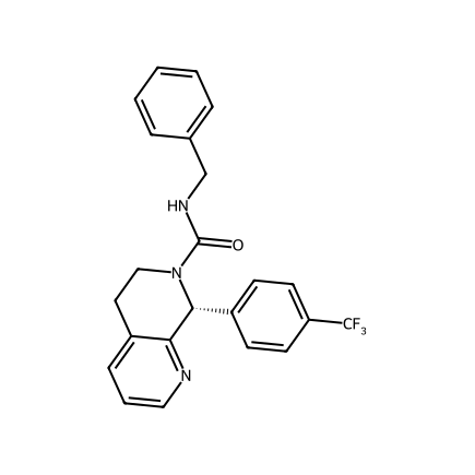 O=C(NCc1ccccc1)N1CCc2cccnc2[C@H]1c1ccc(C(F)(F)F)cc1